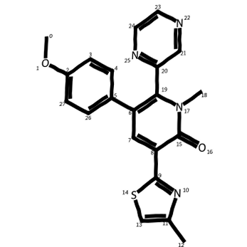 COc1ccc(-c2cc(-c3nc(C)cs3)c(=O)n(C)c2-c2cnccn2)cc1